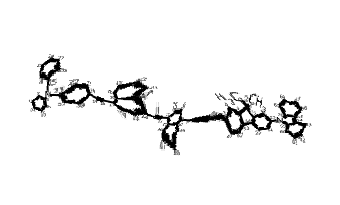 CC1(C)c2cc(C#Cc3ccc(C#Cc4ccc(C#Cc5ccc(N(c6ccccc6)c6ccccc6)cc5)c5ccccc45)c4ccccc34)ccc2-c2ccc(-n3c4ccccc4c4ccccc43)cc21